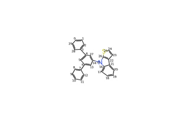 c1ccc(-c2cc(-c3ccccc3)cc(-n3c4ccccc4c4ccsc43)c2)cc1